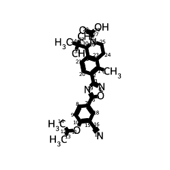 Cc1c(-c2noc(-c3ccc(OC(C)C)c(C#N)c3)n2)ccc2c1CCN(C(=O)O)C2C(C)(C)C